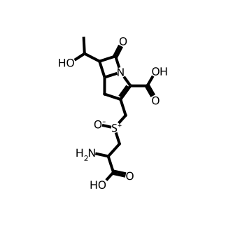 CC(O)C1C(=O)N2C(C(=O)O)=C(C[S+]([O-])CC(N)C(=O)O)CC12